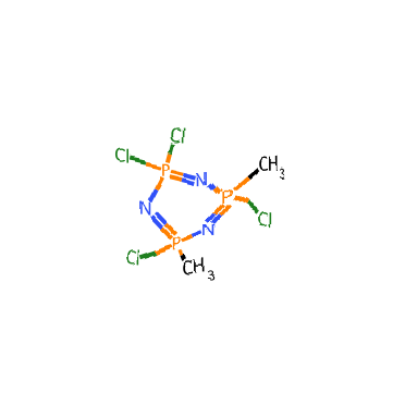 CP1(Cl)=NP(C)(Cl)=NP(Cl)(Cl)=N1